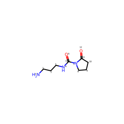 NCCCNC(=O)N1CCCC1=O